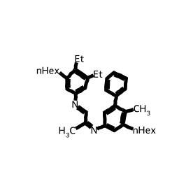 CCCCCCc1cc(N=C(C)C=Nc2cc(CC)c(CC)c(CCCCCC)c2)cc(-c2ccccc2)c1C